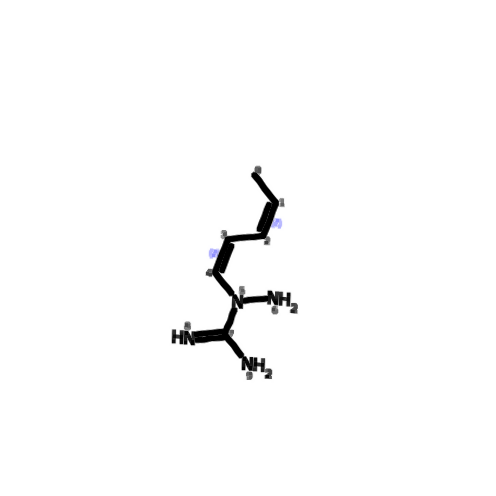 C/C=C\C=C/N(N)C(=N)N